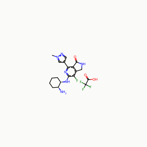 Cn1cc(-c2nc(N[C@@H]3CCCC[C@@H]3N)c(F)c3c2C(=O)NC3)cn1.O=C(O)C(F)(F)F